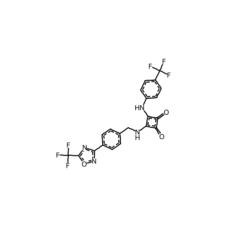 O=c1c(NCc2ccc(-c3noc(C(F)(F)F)n3)cc2)c(Nc2ccc(C(F)(F)F)cc2)c1=O